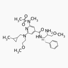 COCCN(CC1CC1C)c1cc(C(=O)N[C@@H](Cc2ccccc2)C(N)COC)cc(N(C)S(C)(=O)=O)n1